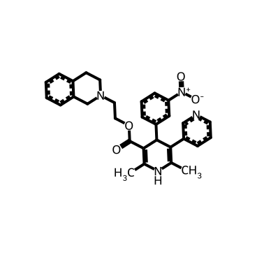 CC1=C(C(=O)OCCN2CCc3ccccc3C2)C(c2cccc([N+](=O)[O-])c2)C(c2cccnc2)=C(C)N1